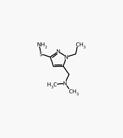 CCn1nc(SN)cc1CN(C)C